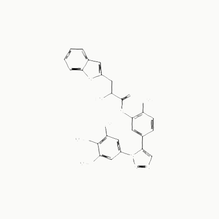 COc1ccc(-c2cnnn2-c2cc(OC)c(OC)c(OC)c2)cc1NC(=O)C(N)Cc1cc2ccccc2[nH]1